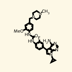 COc1cc(CN2CCN(C)CC2)ccc1NC(=O)Nc1ccc(-c2cn(C3CC3)c3ncnc(N)c23)cc1F